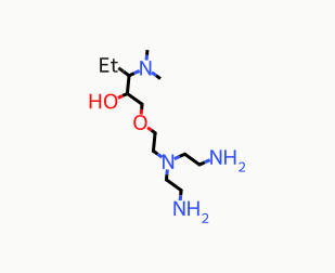 CCC(C(O)COCCN(CCN)CCN)N(C)C